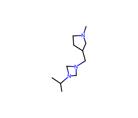 CC(C)N1CN(CC2CCN(C)C2)C1